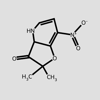 CC1(C)OC2=C([N+](=O)[O-])C=CNC2C1=O